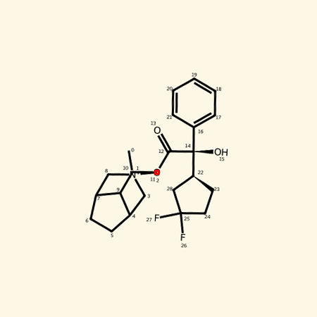 C[N+]1(C)CC2CCC(C1)C2COC(=O)[C@](O)(c1ccccc1)[C@H]1CCC(F)(F)C1